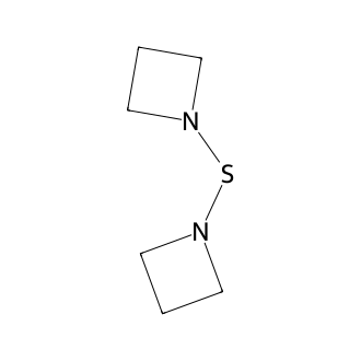 C1CN(SN2CCC2)C1